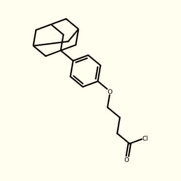 O=C(Cl)CCCOc1ccc(C23CC4CC(CC(C4)C2)C3)cc1